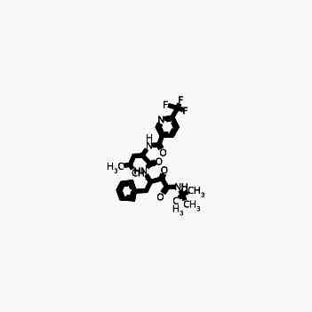 CC(C)CC(NC(=O)c1ccc(C(F)(F)F)nc1)C(=O)NC(Cc1ccccc1)C(=O)C(=O)NC(C)(C)C